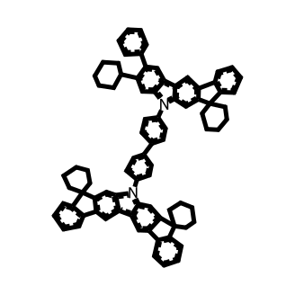 c1ccc(-c2cc3c4cc5c(cc4n(-c4ccc(-c6ccc(-n7c8cc9c(cc8c8cc%10c(cc87)C7(CCCCC7)c7ccccc7-%10)-c7ccccc7C97CCCCC7)cc6)cc4)c3cc2C2CCCCC2)C2(CCCCC2)c2ccccc2-5)cc1